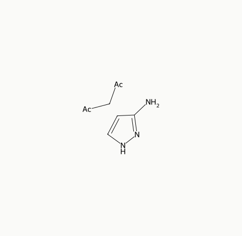 CC(=O)CC(C)=O.Nc1cc[nH]n1